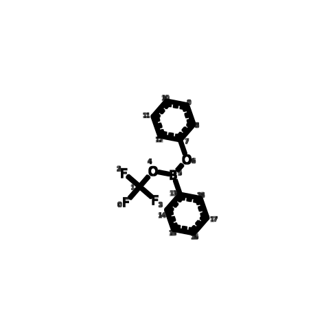 FC(F)(F)OB(Oc1ccccc1)c1ccccc1